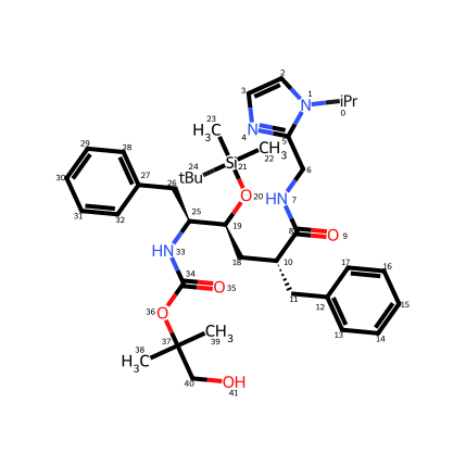 CC(C)n1ccnc1CNC(=O)[C@H](Cc1ccccc1)C[C@H](O[Si](C)(C)C(C)(C)C)[C@H](Cc1ccccc1)NC(=O)OC(C)(C)CO